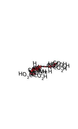 CNc1nc(Nc2ccc(CC3CN(CC(=O)O)CCN(CC(=O)O)CCN(CC(=O)O)CCN3CC(=O)O)cc2)nc(N2CCN(CCCCCCCCCCC(=O)NCCCCC(NC(=O)NC(CCC(=O)O)C(=O)O)C(=O)O)CC2)n1